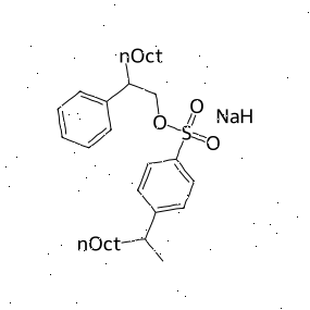 CCCCCCCCC(C)c1ccc(S(=O)(=O)OCC(CCCCCCCC)c2ccccc2)cc1.[NaH]